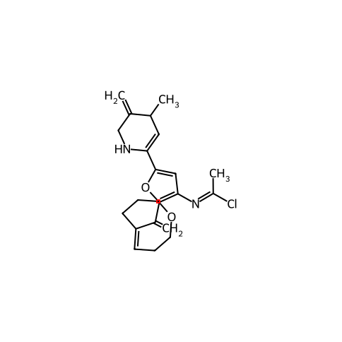 C=C(/C1=C\CCOCCC1)c1oc(C2=CC(C)C(=C)CN2)cc1/N=C(\C)Cl